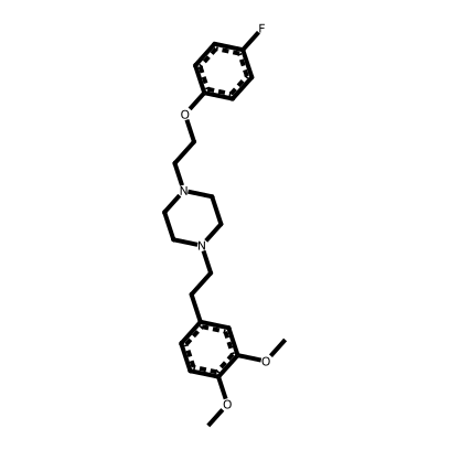 COc1ccc(CCN2CCN(CCOc3ccc(F)cc3)CC2)cc1OC